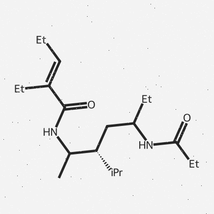 CC/C=C(\CC)C(=O)NC(C)[C@H](CC(CC)NC(=O)CC)C(C)C